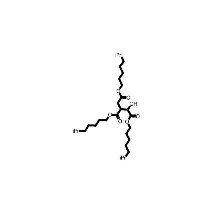 CC(C)CCCCCOC(=O)CC(C(=O)OCCCCCC(C)C)C(O)C(=O)OCCCCCC(C)C